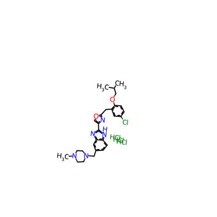 CC(C)COc1ccc(Cl)cc1Cc1nc(-c2nc3cc(CN4CCN(C)CC4)ccc3[nH]2)co1.Cl.Cl.Cl